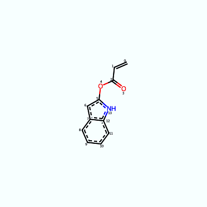 C=CC(=O)Oc1cc2ccccc2[nH]1